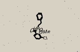 COc1c(Cl)cccc1C(=O)[PH](=O)CCc1ccccc1